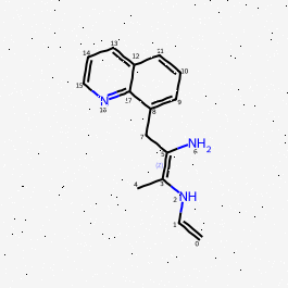 C=CN/C(C)=C(\N)Cc1cccc2cccnc12